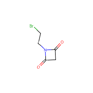 O=C1CC(=O)N1CCBr